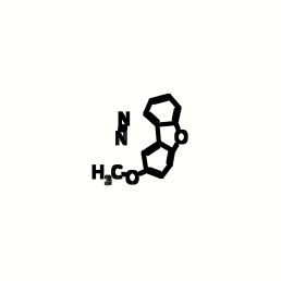 COc1ccc2oc3ccccc3c2c1.N#N